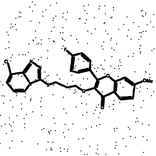 COc1ccc2c(=O)c(OCCCSc3nnc4c(Cl)cccn34)c(-c3ccc(F)cc3)oc2c1